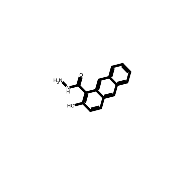 NNC(=O)c1c(O)ccc2cc3ccccc3cc12